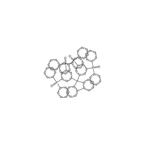 O=P(c1ccccc1)(c1ccccc1)c1cc(C2(c3cc(P(=O)(c4ccccc4)c4ccccc4)cc(P(=O)(c4ccccc4)c4ccccc4)c3)c3ccccc3-c3ccccc32)cc(P(=O)(c2ccccc2)c2ccccc2)c1